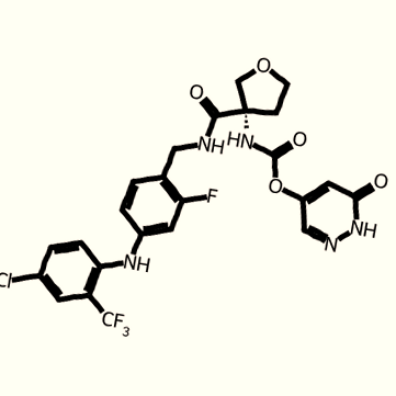 O=C(N[C@@]1(C(=O)NCc2ccc(Nc3ccc(Cl)cc3C(F)(F)F)cc2F)CCOC1)Oc1cn[nH]c(=O)c1